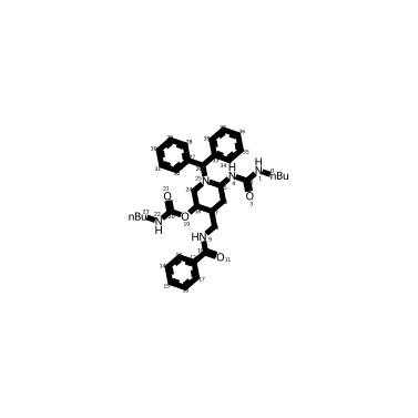 CCCCNC(=O)NC1CC(CNC(=O)c2ccccc2)C(OC(=O)NCCCC)CN1C(c1ccccc1)c1ccccc1